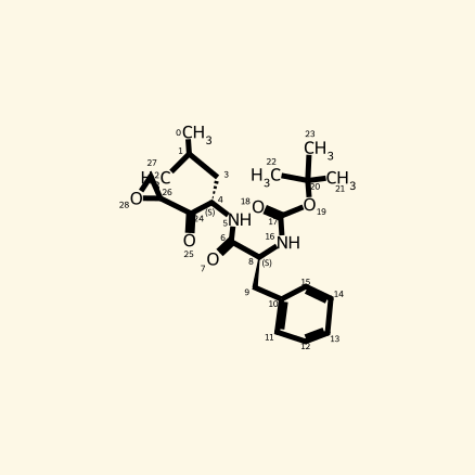 CC(C)C[C@H](NC(=O)[C@H](Cc1ccccc1)NC(=O)OC(C)(C)C)C(=O)C1CO1